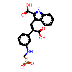 O=C(O)C(=Cc1c(C(=O)O)[nH]c2ccccc12)c1cccc(NC[SH](=O)=O)c1